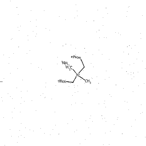 CCCCCCCCCC[N+](C)(C)CCCCCCCCCC.N